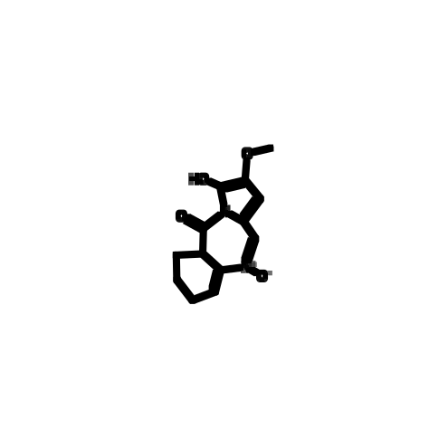 COc1cc2n(c1O)C(=O)C1CCCC=C1[N+]([O-])=C2